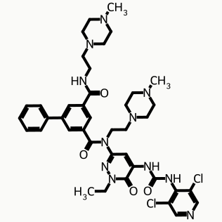 CCn1nc(N(CCN2CCN(C)CC2)C(=O)c2cc(C(=O)NCCN3CCN(C)CC3)cc(-c3ccccc3)c2)cc(NC(=O)Nc2c(Cl)cncc2Cl)c1=O